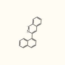 [c]1nc(-c2cccc3ccccc23)cc2ccccc12